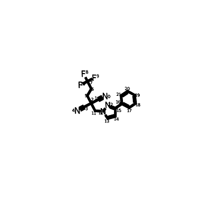 N#CC(C#N)(CCC(F)(F)F)Cn1ccc(-c2ccccc2)n1